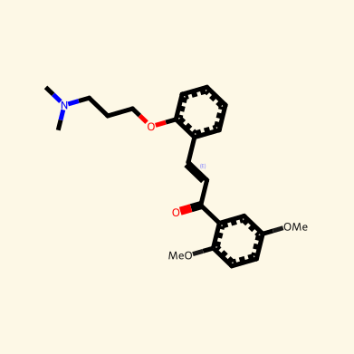 COc1ccc(OC)c(C(=O)/C=C/c2ccccc2OCCCN(C)C)c1